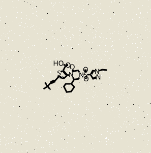 CCn1cc(S(=O)(=O)N2CC(=O)N(c3cc(C#CC(C)(C)C)sc3C(=O)O)C(C3CCCCC3)C2)cn1